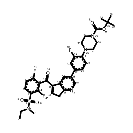 CCN(C)S(=O)(=O)c1ccc(F)c(C(=O)C2=CCc3ncc(-c4ccc(N5CCN(C(=O)OC(C)(C)C)CC5)c(F)c4)cc32)c1F